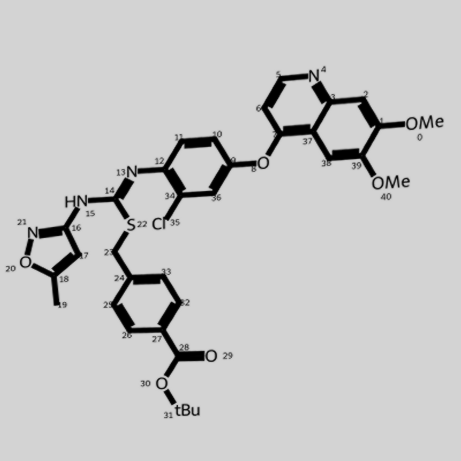 COc1cc2nccc(Oc3ccc(/N=C(/Nc4cc(C)on4)SCc4ccc(C(=O)OC(C)(C)C)cc4)c(Cl)c3)c2cc1OC